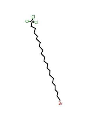 Cl[Si](Cl)(Cl)CCCCCCCCCCCCCCCCCCCCCCBr